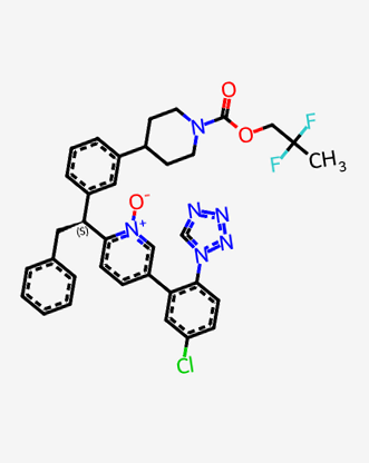 CC(F)(F)COC(=O)N1CCC(c2cccc([C@H](Cc3ccccc3)c3ccc(-c4cc(Cl)ccc4-n4cnnn4)c[n+]3[O-])c2)CC1